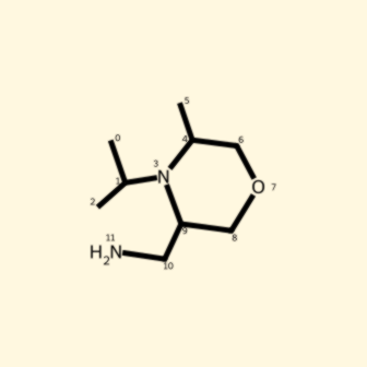 CC(C)N1C(C)COCC1CN